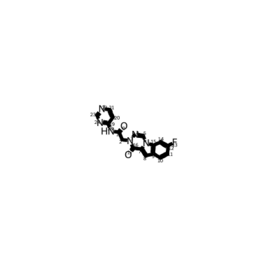 O=C(Cn1ncn2c(cc3ccc(F)cc32)c1=O)Nc1ccncn1